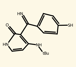 CC(C)(C)Nc1cc[nH]c(=O)c1C(=N)c1ccc(S)cc1